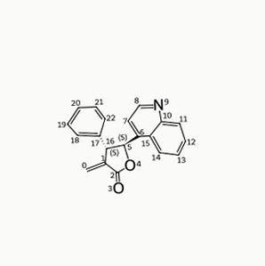 C=C1C(=O)O[C@H](c2ccnc3ccccc23)[C@H]1c1ccccc1